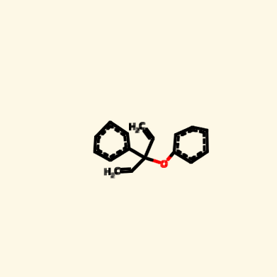 C=CC(C=C)(Oc1ccccc1)c1ccccc1